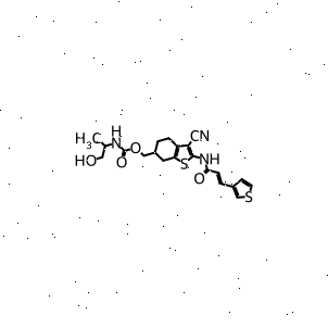 CC(CO)NC(=O)OCC1CCc2c(sc(NC(=O)C=Cc3ccsc3)c2C#N)C1